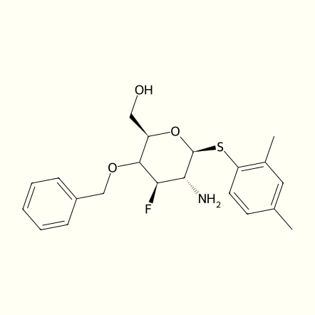 Cc1ccc(S[C@@H]2O[C@H](CO)C(OCc3ccccc3)[C@H](F)[C@H]2N)c(C)c1